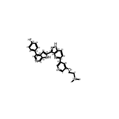 CN(C)CCOc1cncc(-c2ccc3[nH]nc(-c4cc5c(-c6ccc(F)cc6)cncc5[nH]4)c3n2)c1